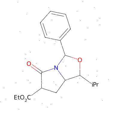 CCOC(=O)C1CC2C(C(C)C)OC(c3ccccc3)N2C1=O